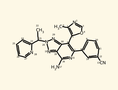 Cc1ncoc1-c1c(-c2cccc(C#N)c2)nc(N)c2nn(C(C)c3ccccn3)nc12